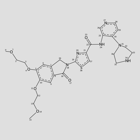 COCCOc1cc2c(cc1OCCOC)C(=O)N(c1nc(C(=O)Nc3cnccc3N3CCNCC3)cs1)C2